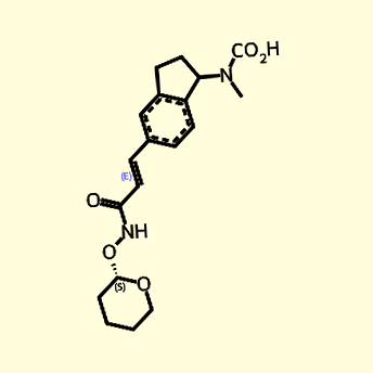 CN(C(=O)O)C1CCc2cc(/C=C/C(=O)NO[C@H]3CCCCO3)ccc21